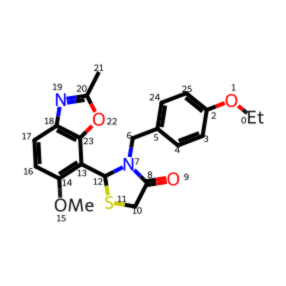 CCOc1ccc(CN2C(=O)CSC2c2c(OC)ccc3nc(C)oc23)cc1